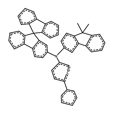 CC1(C)c2ccccc2-c2cc(N(c3ccc(-c4ccccc4)cc3)c3ccc4c(c3)C3(c5ccccc5-c5ccccc53)c3ccccc3-4)ccc21